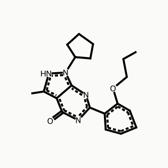 CCCOc1ccccc1-c1nc2n(C3CCCC3)[nH]c(C)c-2c(=O)n1